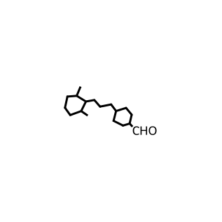 CC1CCCC(C)C1CCCC1CCC(C=O)CC1